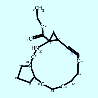 CCOC(=O)C12CC1/C=C/CCCCCCC1CCCN1CN2